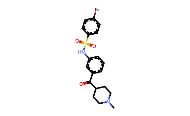 CN1CCC(C(=O)c2cccc(NS(=O)(=O)c3ccc(Br)cc3)c2)CC1